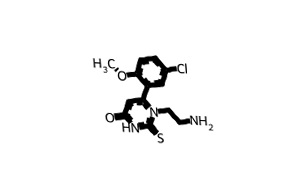 COc1ccc(Cl)cc1-c1cc(=O)[nH]c(=S)n1CCN